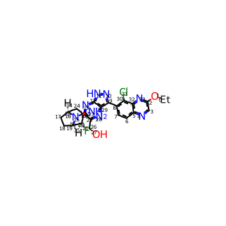 CCOc1cnc2ccc(-c3n[nH]c4nc(N5[C@H]6CC[C@@H]5[C@@H](F)[C@@H](N)C6)c(CO)nc34)c(Cl)c2n1